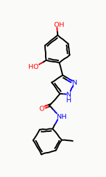 Cc1ccccc1NC(=O)c1cc(-c2ccc(O)cc2O)n[nH]1